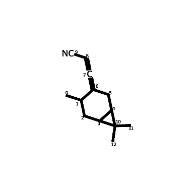 CC1CC2C(CC1=C=CC#N)C2(C)C